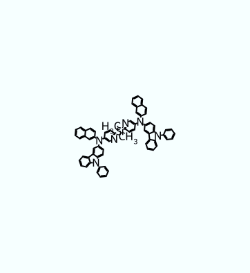 C[Si](C)(c1ccc(N(c2ccc3ccccc3c2)c2ccc3c(c2)c2ccccc2n3-c2ccccc2)cn1)c1ccc(N(c2ccc3ccccc3c2)c2ccc3c(c2)c2ccccc2n3-c2ccccc2)cn1